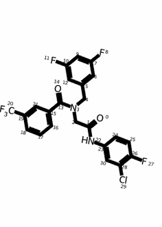 O=C(CN(Cc1cc(F)cc(F)c1)C(=O)c1cccc(C(F)(F)F)c1)Nc1ccc(F)c(Cl)c1